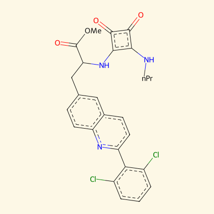 CCCNc1c(NC(Cc2ccc3nc(-c4c(Cl)cccc4Cl)ccc3c2)C(=O)OC)c(=O)c1=O